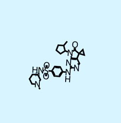 CC1CCCC1N1C(=O)C2(CC2)c2cnc(Nc3ccc(S(=O)(=O)N[C@@H]4CCCN(C)C4)cc3)nc21